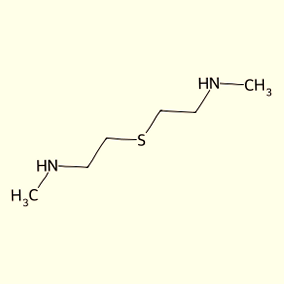 CNCCSCCNC